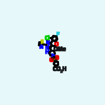 COC(=O)C1=C(C2CCN(S(=O)(=O)[C@H]3CC[C@H](C(=O)O)C3)CC2)NC(c2nccs2)=NC1c1ccc(F)cc1Cl